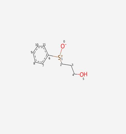 [O-][S+](CCCO)c1ccccc1